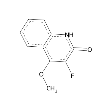 COc1c(F)c(=O)[nH]c2ccccc12